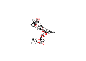 C=C(C)C(=O)OC12CC3CC(O)(C1)CC(O)(C2)C3CC(=C)C(=O)OC12CC3CC(OC(C)=O)(CC(OC(=O)CCC(C)(C)C(=O)OC45CC6CC(C4)CC(C(C)(C)O)(C6)C5)(C3)C1)C2